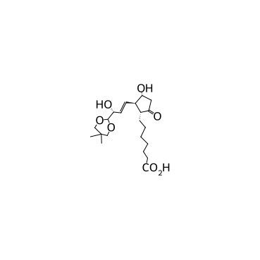 CC1(C)COC([C@H](O)/C=C/[C@H]2[C@H](O)CC(=O)[C@@H]2CCCCCCC(=O)O)OC1